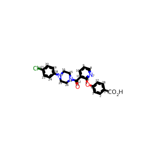 O=C(O)c1ccc(Oc2ncccc2C(=O)N2CCN(c3ccc(Cl)cc3)CC2)cc1